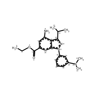 CCOC(=O)c1cc(N)c2c(C(C)C)nn(-c3cccc(N(C)C)c3)c2n1